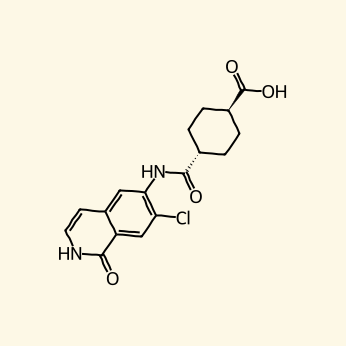 O=c1[nH]ccc2cc(NC(=O)[C@H]3CC[C@H](C(=O)O)CC3)c(Cl)cc12